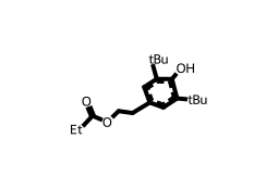 CCC(=O)OCCc1cc(C(C)(C)C)c(O)c(C(C)(C)C)c1